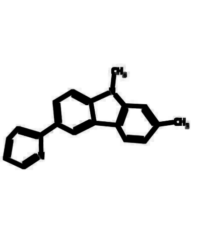 Cc1ccc2c3cc(-c4ccccn4)ccc3n(C)c2c1